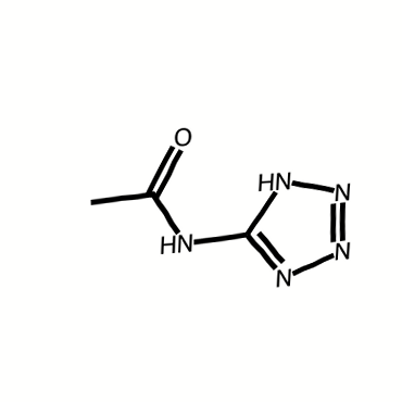 CC(=O)Nc1nnn[nH]1